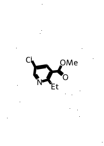 CCc1ncc(Cl)cc1C(=O)OC